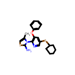 CC1=CSC(N)N1c1ncc(SC2CCCCC2)cc1Oc1ccccc1